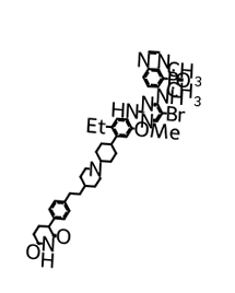 CCc1cc(Nc2ncc(Br)c(Nc3ccc4nccnc4c3P(C)(C)=O)n2)c(OC)cc1C1CCC(N2CCC(CCc3ccc(C4CCC(=O)NC4=O)cc3)CC2)CC1